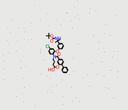 CC(C)(C)OC(=O)NC(C)(C)c1cccc(Oc2cc(Cl)ccc2N(CCCC(=O)O)C(=O)c2ccc(-c3ccccc3)cc2)c1